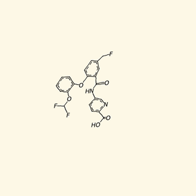 O=C(O)c1ccc(NC(=O)c2cc(CF)ccc2Oc2ccccc2OC(F)F)cn1